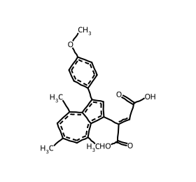 COc1ccc(-c2cc(/C(=C\C(=O)O)C(=O)O)c3c(C)cc(C)cc(C)c2-3)cc1